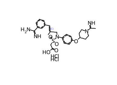 CC(=N)N1CCC(Oc2ccc(N(C/C(C)=C/c3cccc(C(=N)N)c3)S(=O)(=O)CC(=O)O)cc2)CC1.Cl.Cl